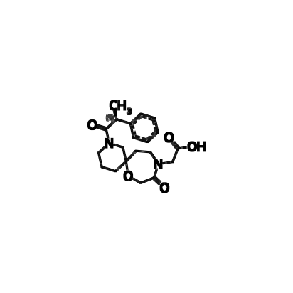 C[C@H](C(=O)N1CCCC2(CCN(CC(=O)O)C(=O)CO2)C1)c1ccccc1